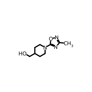 Cc1noc(N2CCC(CO)CC2)n1